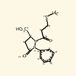 CC(=O)SCCC(=O)N1C(C(=O)O)CC(=O)N1c1ccccc1